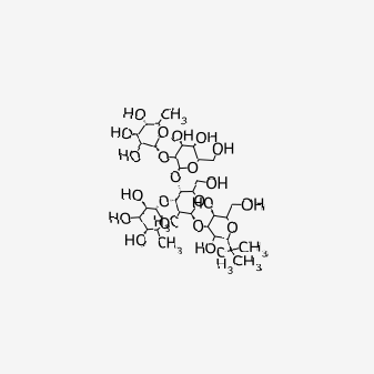 CC1O[C@@H](O[C@H]2C(C)[C@H](O[C@@H]3C(O)[C@H](C(C)(C)C)OC(CO)[C@@H]3O)OC(CO)[C@H]2O[C@@H]2OC(CO)[C@H](O)[C@H](O)C2O[C@@H]2OC(C)[C@@H](O)[C@H](O)C2O)[C@H](O)C(O)[C@@H]1O